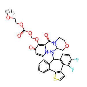 COCCOC(=O)OCOc1c2n(ccc1=O)N(C1c3ccccc3-c3sccc3-c3c1ccc(F)c3F)C1COCCN1C2=O